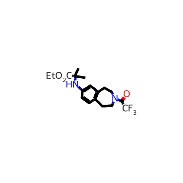 CCOC(=O)C(C)(C)Nc1ccc2c(c1)CCN(C(=O)C(F)(F)F)CC2